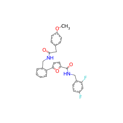 COc1ccc(CC(=O)NCc2ccccc2-c2ccc(C(=O)NCc3ccc(F)cc3F)o2)cc1